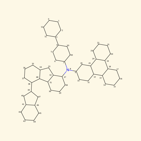 C1CCC(C2CCC(N(C3CCC4C5CCCCC5C5CCCCC5C4C3)C3CCCC4C3CC3CCCC(C5CC6CCCCC6C5)C34)CC2)CC1